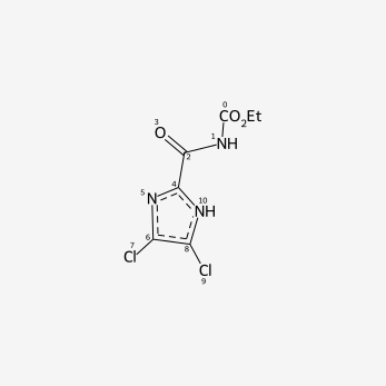 CCOC(=O)NC(=O)c1nc(Cl)c(Cl)[nH]1